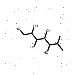 CC(C)C(O)C(O)C(O)C(O)CO